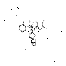 CC1=C(C)C(C)=[C]([Zr+2]([SiH2]c2ccccc2C)[C]2=CC=CC2)C1.[Cl-].[Cl-]